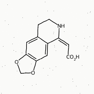 O=C(O)/C=C1/NCCc2cc3c(cc21)OCO3